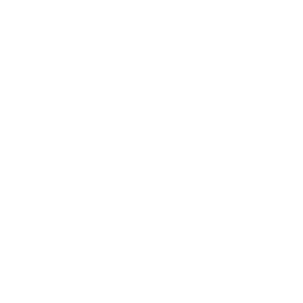 CC1=C(C)C(C)[C]([Ti][O]c2ccccc2)=C1C.Cl